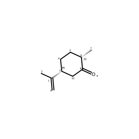 C=C(C)[C@@H]1CC[C@H](C)C(=O)C1